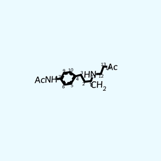 C=C(CCc1ccc(NC(C)=O)cc1)NCCC(C)=O